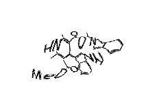 COC(=O)C1=C(C)NC(C)=C(C(=O)OC(C)n2cc3ccccc3c2)C1c1c[nH]c2ccccc12